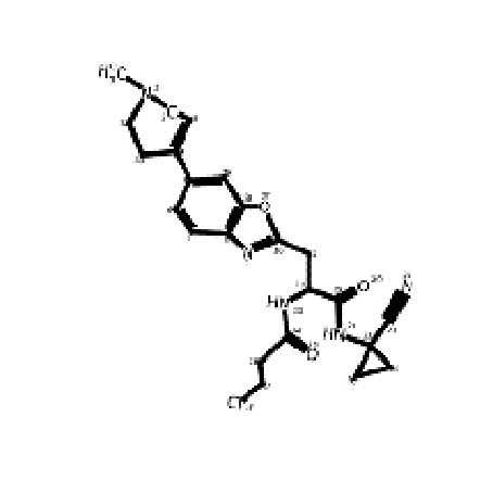 CN1CC=C(c2ccc3nc(CC(NC(=O)CCCl)C(=O)NC4(C#N)CC4)oc3c2)CC1